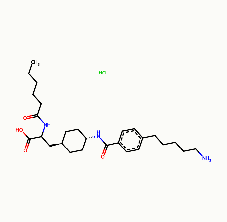 CCCCCC(=O)NC(C[C@H]1CC[C@H](NC(=O)c2ccc(CCCCCN)cc2)CC1)C(=O)O.Cl